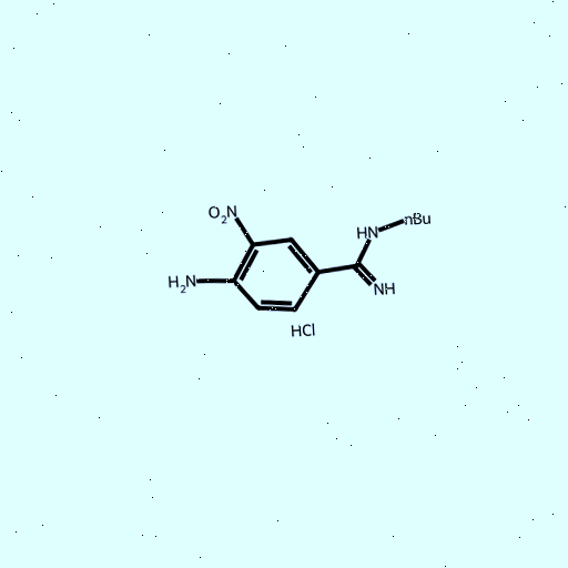 CCCCNC(=N)c1ccc(N)c([N+](=O)[O-])c1.Cl